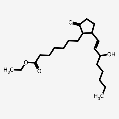 CCCCCC(O)C=CC1CCC(=O)C1CCCCCCC(=O)OCC